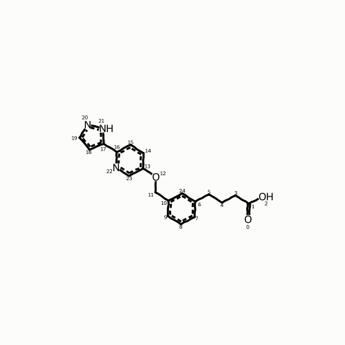 O=C(O)CCCc1cccc(COc2ccc(-c3ccn[nH]3)nc2)c1